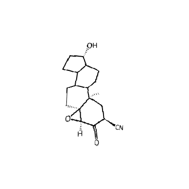 C[C@]12C[C@@H](C#N)C(=O)[C@H]3O[C@]31CCC1C3CC[C@H](O)C3CCC12